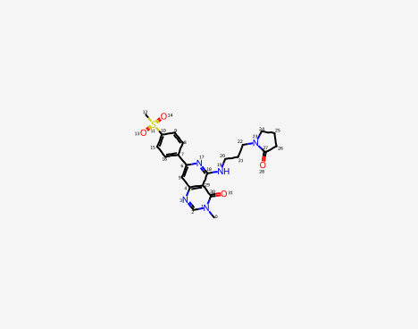 Cn1cnc2cc(-c3ccc(S(C)(=O)=O)cc3)nc(NCCCN3CCCC3=O)c2c1=O